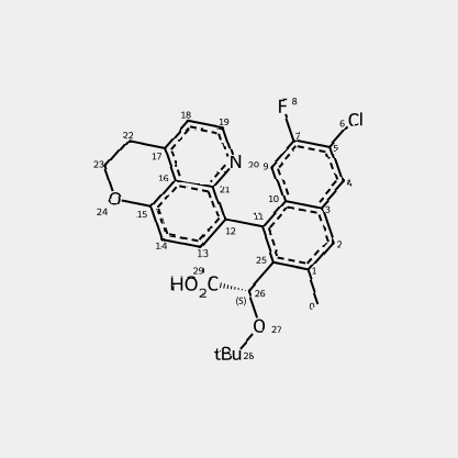 Cc1cc2cc(Cl)c(F)cc2c(-c2ccc3c4c(ccnc24)CCO3)c1[C@H](OC(C)(C)C)C(=O)O